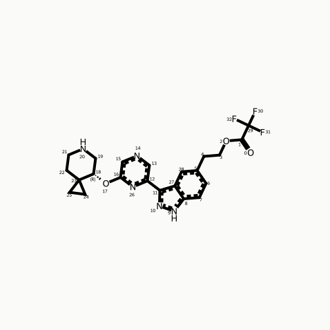 O=C(OCCc1ccc2[nH]nc(-c3cncc(O[C@H]4CNCCC45CC5)n3)c2c1)C(F)(F)F